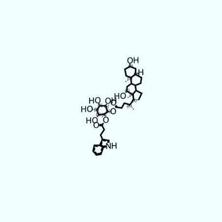 C[C@H](CCC(=O)O[C@H]1[C@@H](O)[C@H](O)[C@@H](O)[C@H](O)[C@H]1OC(=O)CCc1c[nH]c2ccccc12)[C@H]1CCC2C3CC[C@@H]4C[C@H](O)CC[C@]4(C)C3C[C@H](O)[C@@]21C